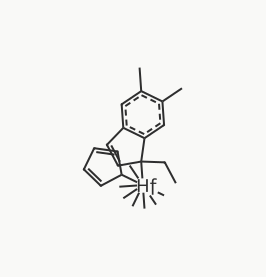 CC[C]1([Hf]([CH3])([CH3])([CH3])([CH3])([CH3])([CH3])([CH3])[CH]2C=CC=C2)C=Cc2cc(C)c(C)cc21